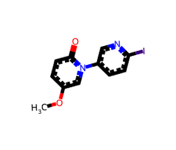 COc1ccc(=O)n(-c2ccc(I)nc2)c1